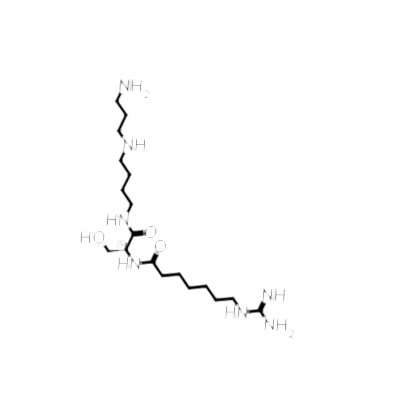 N=C(N)NCCCCCCC(=O)N[C@@H](CO)C(=O)NCCCCNCCCN